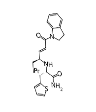 CC(C)C[C@@H](/C=C/C(=O)N1CCc2ccccc21)N[C@@H](Cc1cccs1)C(N)=O